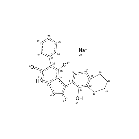 O=c1[nH]c2sc(Cl)c(-c3ccc4c(c3O)CCCC4)c2c([O-])c1-c1ccccc1.[Na+]